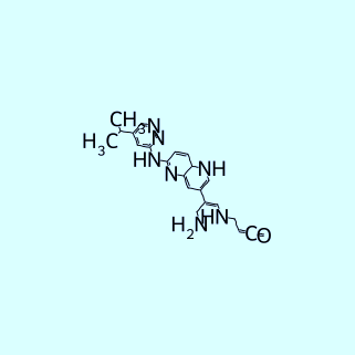 CC(C)c1cnnc(NC2=NC3=CC(/C(=C/NCC=C=O)CN)=CNC3C=C2)c1